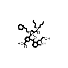 CCCCN(CCCC)C(=O)c1cn(CCc2ccccc2)c(-c2ccc(C(=O)O)cc2C(=O)c2cccc3c2CC(CO)NC3)n1